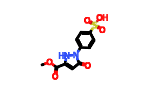 COC(=O)c1cc(=O)n(-c2ccc(S(=O)(=O)O)cc2)[nH]1